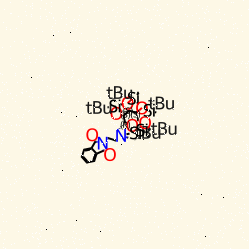 CN(CCN1C(=O)c2ccccc2C1=O)C[C@@H](O[Si](C)(C)C(C)(C)C)[C@H](O[Si](C)(C)C(C)(C)C)[C@@H](O[Si](C)(C)C(C)(C)C)[C@H](CO[Si](C)(C)C(C)(C)C)O[Si](C)(C)C(C)(C)C